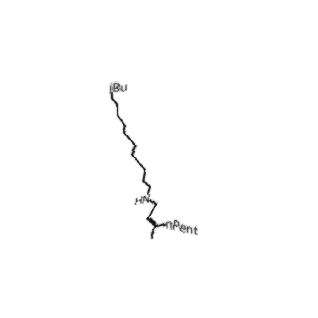 CCCCC/C(C)=C\CNCCCCCCCCCCC(C)CC